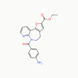 CCOC(=O)c1cc2c(o1)-c1cccnc1N(C(=O)c1ccc(N)cc1)CC2